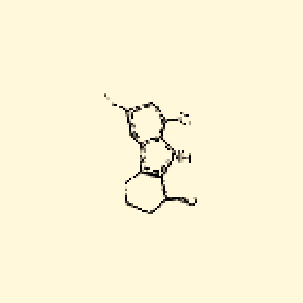 O=C1CCCc2c1[nH]c1c(Cl)cc(F)cc21